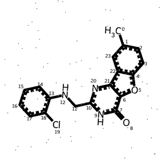 Cc1ccc2oc3c(=O)[nH]c(CNc4ccccc4Cl)nc3c2c1